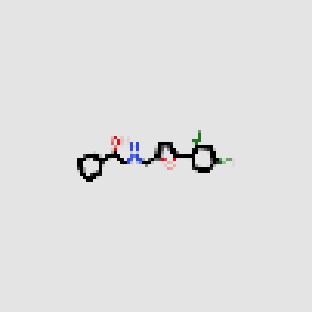 OC(CNCc1ccc(-c2ccc(Cl)cc2Cl)o1)c1ccccc1